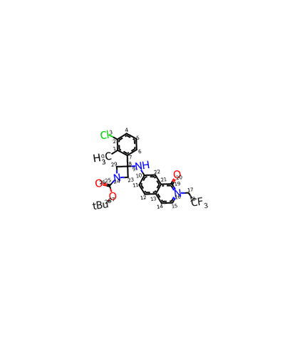 Cc1c(Cl)cccc1C1(Nc2ccc3ccn(CC(F)(F)F)c(=O)c3c2)CN(C(=O)OC(C)(C)C)C1